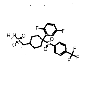 NS(=O)(=O)CC1CCC(c2cc(F)ccc2F)(S(=O)(=O)c2ccc(C(F)(F)F)cc2)CC1